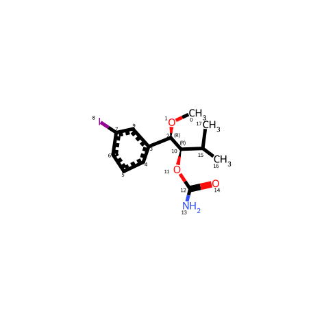 CO[C@H](c1cccc(I)c1)[C@H](OC(N)=O)C(C)C